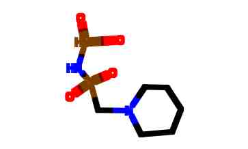 O=[SH](=O)NS(=O)(=O)CN1CCCCC1